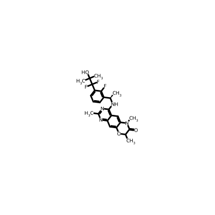 Cc1nc(N[C@H](C)c2cccc(C(F)(F)C(C)(C)O)c2F)c2cc3c(cc2n1)OC(C)C(=O)N3C